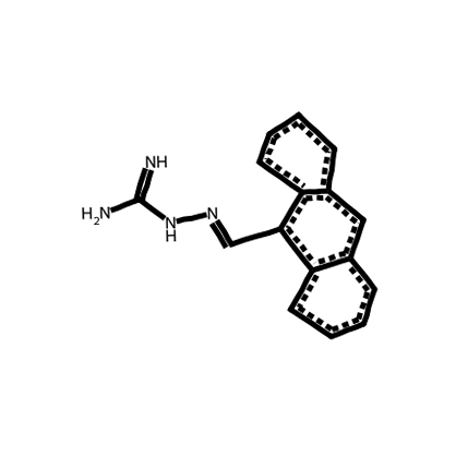 N=C(N)NN=Cc1c2ccccc2cc2ccccc12